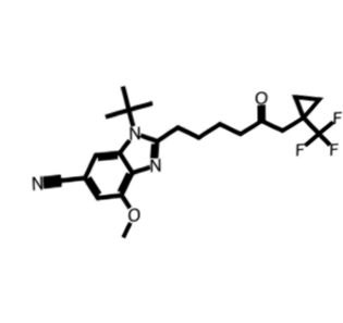 COc1cc(C#N)cc2c1nc(CCCCC(=O)CC1(C(F)(F)F)CC1)n2C(C)(C)C